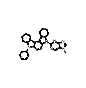 Cn1cnc2nc(-n3c4ccccc4c4c5c6ccccc6n(-c6ccccc6)c5ccc43)ncc21